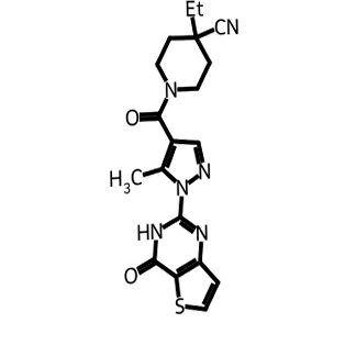 CCC1(C#N)CCN(C(=O)c2cnn(-c3nc4ccsc4c(=O)[nH]3)c2C)CC1